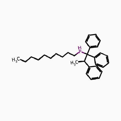 CCCCCCCCCCPC(c1ccccc1)(c1ccccc1)C(C)c1ccccc1